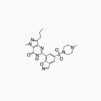 CCCc1nn(C)c2c(=O)[nH]c(-c3cc(S(=O)(=O)N4CCN(C)CC4)cc4cnoc34)nc12